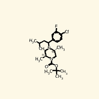 CC(C)CC(c1ccc(Cl)c(F)c1)N1C[C@H](C)N(C(=O)OC(C)(C)C)C[C@H]1C